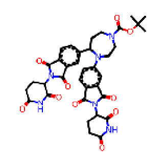 CC(C)(C)OC(=O)N1CCC(c2ccc3c(c2)C(=O)N(C2CCC(=O)NC2=O)C3=O)N(c2ccc3c(c2)C(=O)N(C2CCC(=O)NC2=O)C3=O)CC1